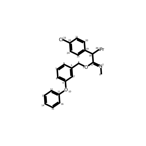 C/N=C(\OCc1cccc(Oc2ccccc2)c1)C(c1ccc(Cl)cc1)C(C)C